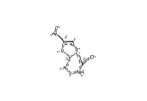 O=Nc1ccc2c(=O)[nH]cnc2c1